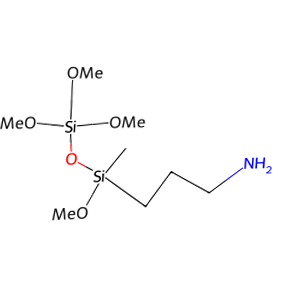 CO[Si](C)(CCCN)O[Si](OC)(OC)OC